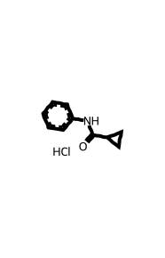 Cl.O=C(Nc1ccccc1)C1CC1